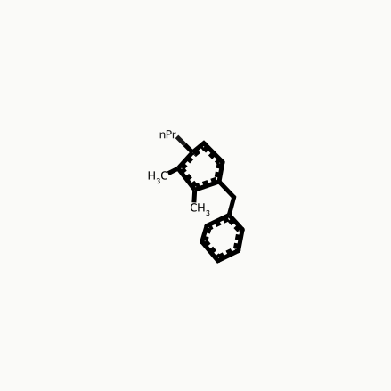 CCCc1ccc(Cc2ccccc2)c(C)c1C